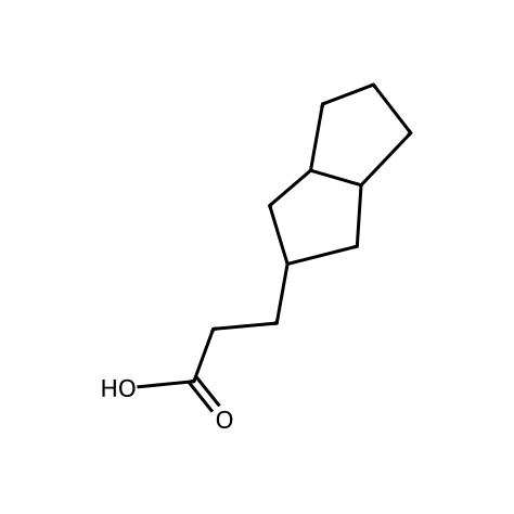 O=C(O)CCC1CC2CCCC2C1